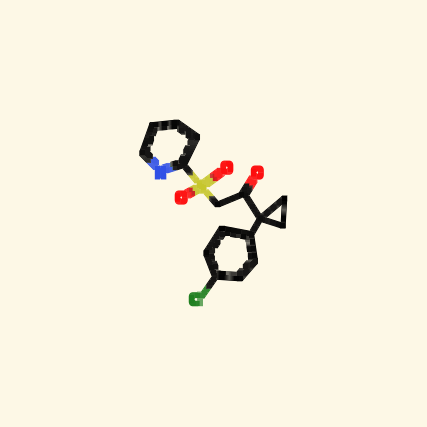 O=C(CS(=O)(=O)c1ccccn1)C1(c2ccc(Cl)cc2)CC1